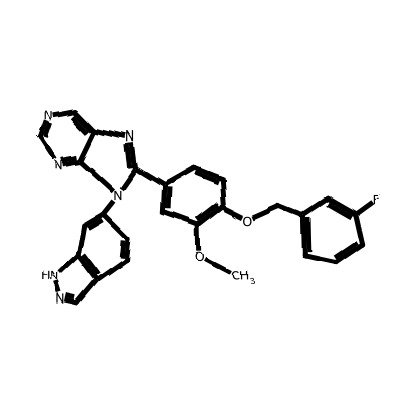 COc1cc(-c2nc3cn[c]nc3n2-c2ccc3cn[nH]c3c2)ccc1OCc1cccc(F)c1